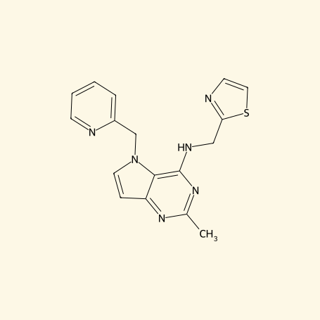 Cc1nc(NCc2nccs2)c2c(ccn2Cc2ccccn2)n1